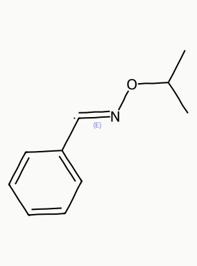 CC(C)O/N=[C]/c1ccccc1